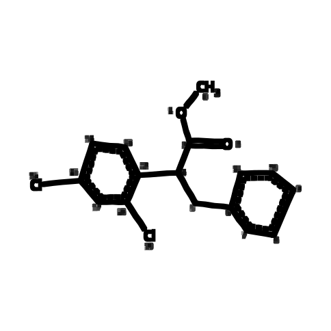 COC(=O)C(Cc1ccccc1)c1ccc(Cl)cc1Cl